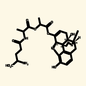 CC(NC(=O)CCC(N)C(=O)O)C(=O)OC(C)C(=O)OC1=CC[C@@]2(O)[C@H]3Cc4ccc(O)c5c4[C@@]2(CCN3C)[C@H]1O5